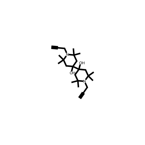 C#CCN1C(C)(C)CC(O)(C2(O)CC(C)(C)N(CC#C)C(C)(C)C2)CC1(C)C